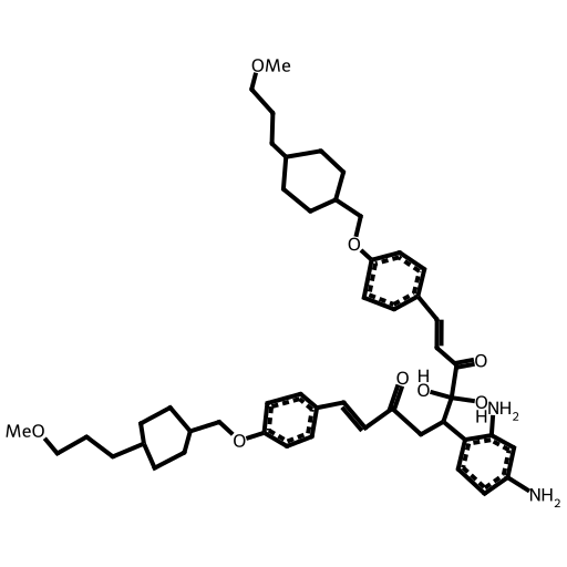 COCCCC1CCC(COc2ccc(/C=C/C(=O)CC(c3ccc(N)cc3N)C(O)(O)C(=O)/C=C/c3ccc(OCC4CCC(CCCOC)CC4)cc3)cc2)CC1